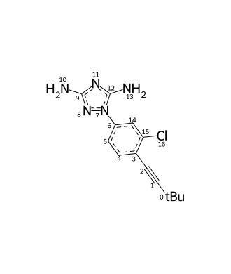 CC(C)(C)C#Cc1ccc(-n2nc(N)nc2N)cc1Cl